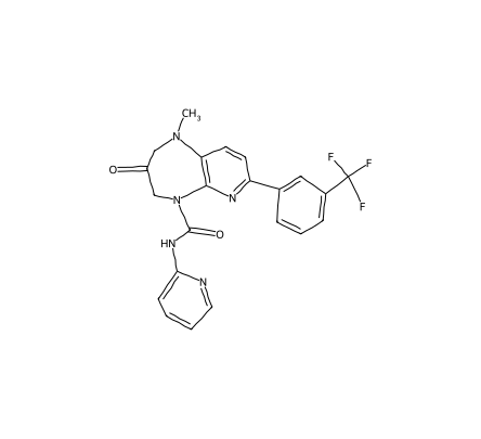 CN1CC(=O)CN(C(=O)Nc2ccccn2)c2nc(-c3cccc(C(F)(F)F)c3)ccc21